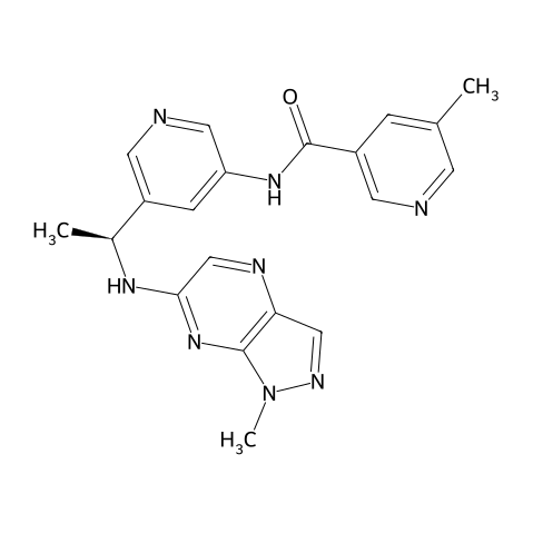 Cc1cncc(C(=O)Nc2cncc([C@H](C)Nc3cnc4cnn(C)c4n3)c2)c1